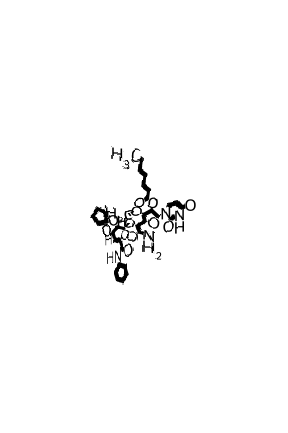 CCCCCCC(=O)O[C@@H]1[C@H](OC)[C@@H]([C@@H](O[C@H]2OC(C(=O)Nc3ccccc3)=C[C@@H]3OC4(CCCC4)O[C@H]23)C(N)=O)O[C@H]1n1ccc(=O)[nH]c1=O